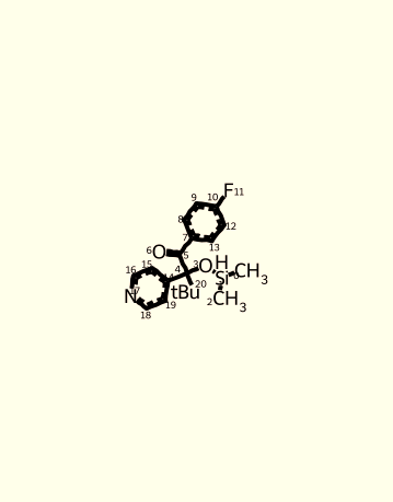 C[SiH](C)OC(C(=O)c1ccc(F)cc1)(c1ccncc1)C(C)(C)C